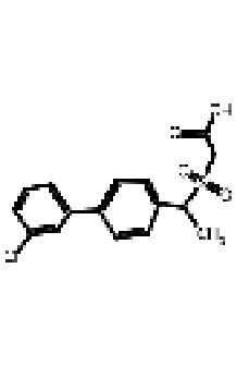 CC(c1ccc(-c2cccc(Cl)c2)cc1)S(=O)(=O)CC(=O)O